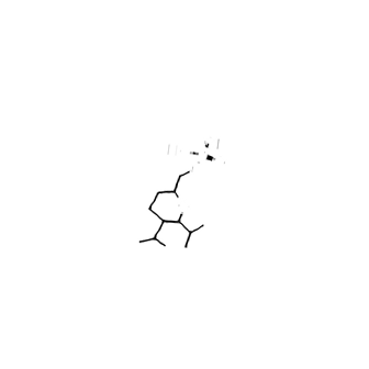 CC(C)C1CCC(COP(=O)(O)O)OC1C(C)C